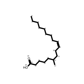 CCCCCCCC/C=C\CCC(C)CCCCC(=O)O